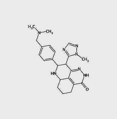 CN(C)Cc1ccc(C2NC3CCCc4c3c(n[nH]c4=O)C2c2ncnn2C)cc1